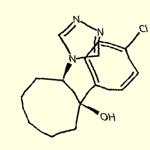 O[C@@]1(c2ccc(Cl)cc2)CCCCC[C@H]1n1cnnc1